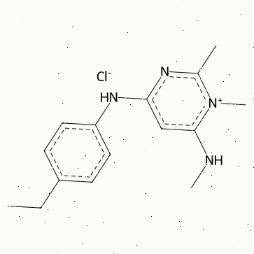 CCc1ccc(Nc2cc(NC)[n+](C)c(C)n2)cc1.[Cl-]